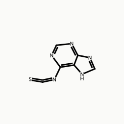 S=C=Nc1ncnc2nc[nH]c12